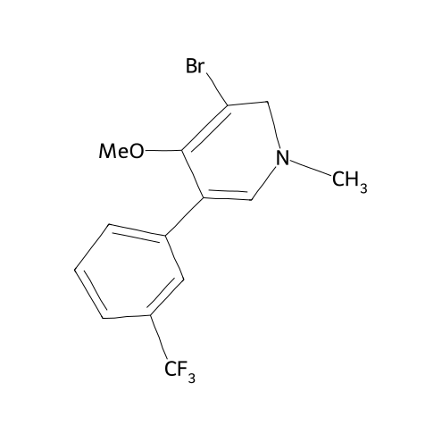 COC1=C(Br)CN(C)C=C1c1cccc(C(F)(F)F)c1